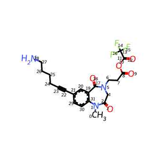 CN1C(=O)CN(CCC(=O)OC(=O)C(F)(F)F)C(=O)c2cc(C#CCCCCN)ccc21